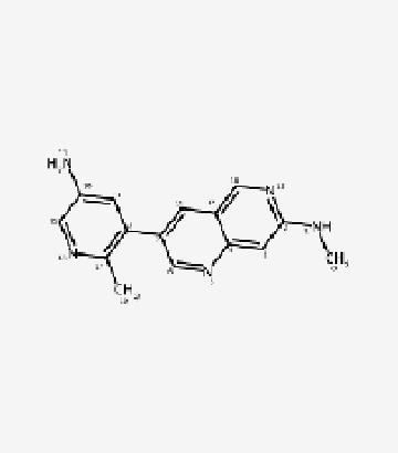 CNc1cc2ncc(-c3cc(N)cnc3C)cc2cn1